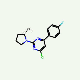 C[C@H]1CCCN1c1nc(Cl)cc(-c2ccc(F)cc2)n1